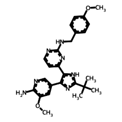 COc1ccc(CNc2nccc(-c3[nH]c(C(C)(C)C)nc3-c3cnc(N)c(OC)c3)n2)cc1